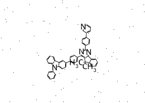 CC1(C)c2ccccc2-c2nc(-c3ccc(-c4cccnc4)cc3)nc(-c3ccc(-c4ccc5c(c4)c4ccccc4n5-c4ccccc4)cc3)c21